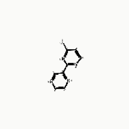 Clc1ccnc(-c2cnccn2)n1